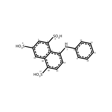 O=S(=O)(O)c1cc(S(=O)(=O)O)c2c(Nc3ccccc3)ccc(S(=O)(=O)O)c2c1